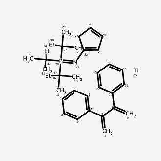 C=C(C(=C)c1ccccc1)c1ccccc1.CCC(C)(C)P(=NC1=CC=CC1)(C(C)(C)CC)C(C)(C)CC.[Ti]